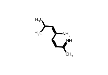 CC(=N)/C=C\C(N)=C/C(C)C